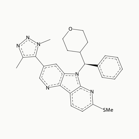 CSc1ccc2c3ncc(-c4c(C)nnn4C)cc3n([C@H](c3ccccc3)C3CCOCC3)c2n1